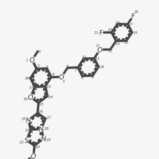 COc1cc(OCc2cccc(OCc3ccc(F)cc3F)c2)c2cc(-c3cn4nc(OC)sc4n3)oc2c1